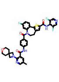 Cc1cnc(N2CC3(CCOCC3)C2)c(C(=O)Nc2ccc(C(=O)N3CCc4cc(C(=O)Nc5c(F)cncc5F)sc4-c4ccc(F)cc43)cc2)c1